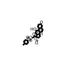 COCO[C@]1(C(=O)COS(=O)(=O)c2ccc(C)cc2)CC[C@H]2[C@@H]3CCC4=CC(=O)C=C[C@]4(C)[C@@]3(F)[C@@H](O)C[C@@]21C